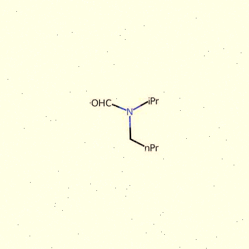 CCCCN([C]=O)C(C)C